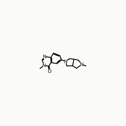 CN1CC2CN(c3ccc4ncn(C)c(=O)c4c3)CC2C1